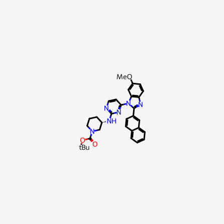 COc1ccc2nc(-c3ccc4ccccc4c3)n(-c3ccnc(N[C@H]4CCCN(C(=O)OC(C)(C)C)C4)n3)c2c1